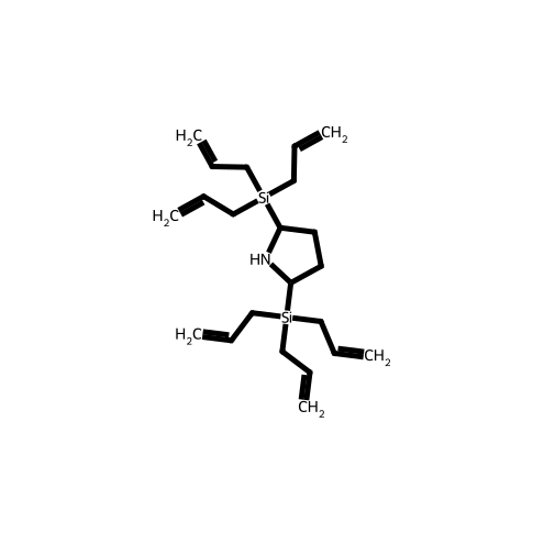 C=CC[Si](CC=C)(CC=C)C1CCC([Si](CC=C)(CC=C)CC=C)N1